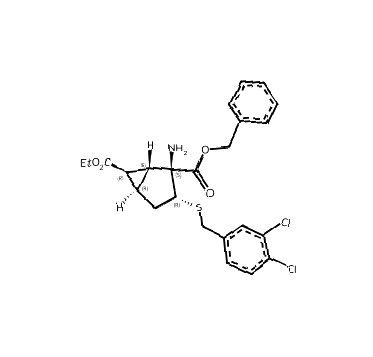 CCOC(=O)[C@@H]1[C@@H]2C[C@@H](SCc3ccc(Cl)c(Cl)c3)[C@@](N)(C(=O)OCc3ccccc3)[C@H]21